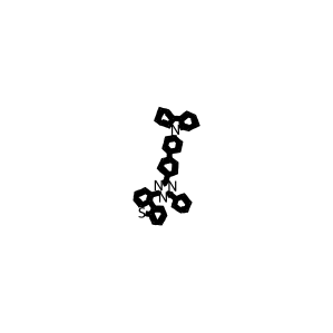 C1=CCC(c2nc(-c3ccc(-c4ccc(-n5c6ccccc6c6ccccc65)cc4)cc3)nc(-c3cccc4sc5ccccc5c34)n2)C=C1